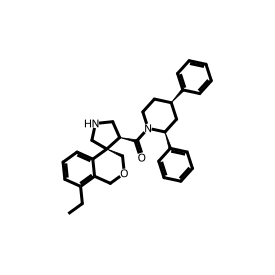 CCc1cccc2c1COC[C@]21CNC[C@H]1C(=O)N1CC[C@@H](c2ccccc2)C[C@H]1c1ccccc1